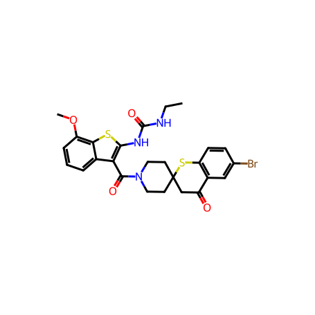 CCNC(=O)Nc1sc2c(OC)cccc2c1C(=O)N1CCC2(CC1)CC(=O)c1cc(Br)ccc1S2